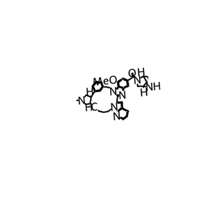 COc1cc(C(=O)N2C[C@H]3N[C@@]34C[C@@H]24)cc2nc3n(c12)Cc1cccc(c1)[C@@H]1CN(C)C[C@@H]1CCCCn1c-3cc2cccnc21